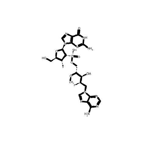 CO[C@H](CO[P@@](=O)(S)[C@@H]1[C@H](F)[C@@H](CO)O[C@H]1n1cnc2c(=O)[nH]c(N)nc21)[C@@H](O)[C@H](F)Cn1cnc2c(N)ncnc21